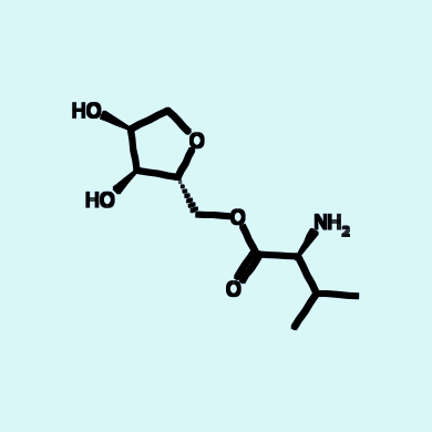 CC(C)[C@H](N)C(=O)OC[C@H]1OC[C@H](O)[C@@H]1O